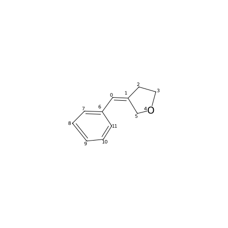 C(=C1CCOC1)c1ccccc1